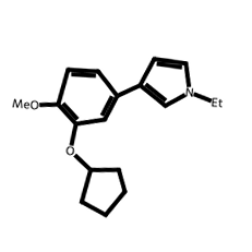 CCn1ccc(-c2ccc(OC)c(OC3CCCC3)c2)c1